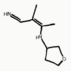 C/C(C=N)=C(\C)NC1CCOC1